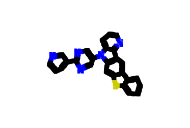 c1cncc(-c2ncc(-n3c4cc5sc6ccccc6c5cc4c4ncccc43)cn2)c1